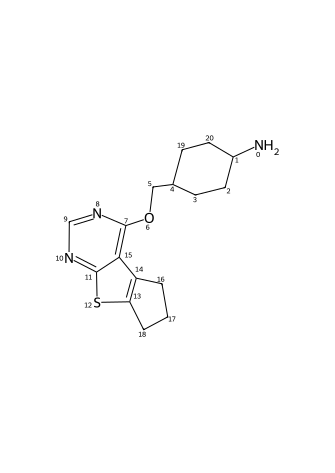 NC1CCC(COc2ncnc3sc4c(c23)CCC4)CC1